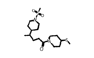 CSC1CCN(C(=O)CCC(C)C2CCN(S(C)(=O)=O)CC2)CC1